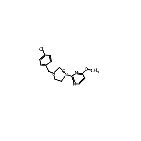 COc1ccnc(N2CCN(Cc3ccc(Cl)cc3)CC2)n1